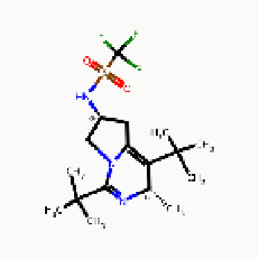 C[C@@H]1N=C(C(C)(C)C)N2C[C@@H](NS(=O)(=O)C(F)(F)F)CC2=C1C(C)(C)C